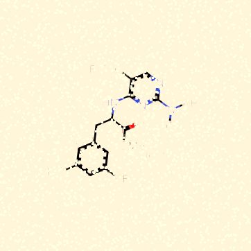 CCOC(=O)c1cnc(N(C)C)nc1NC(Cc1cc(C(F)(F)F)cc(C(F)(F)F)c1)C(=O)OC.Cl